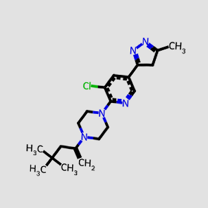 C=C(CC(C)(C)C)N1CCN(c2ncc(C3=NN=C(C)C3)cc2Cl)CC1